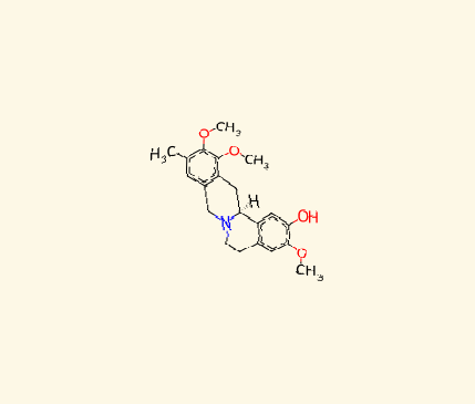 COc1cc2c(cc1O)[C@@H]1Cc3c(cc(C)c(OC)c3OC)CN1CC2